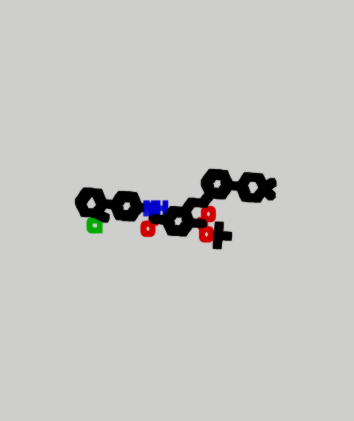 CC1(C)CC=C(c2cccc(CCc3cc(C(=O)Nc4ccc(C5=CC=CCC5(C)Cl)cc4)ccc3C(=O)OC(C)(C)C)c2)CC1